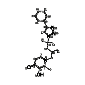 Cc1c(O)c(=O)ccn1CC(C)CC(C)(C)n1cc(-c2ccccc2)nn1